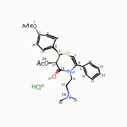 COc1ccc([C@H]2SC=C(c3ccccc3)N(CCN(C)C)C(=O)[C@H]2OC(C)=O)cc1.Cl